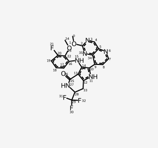 COc1ncc2nccc(-c3[nH]c4c(c3Nc3cccc(F)c3OC)C(=O)NC(C(F)(F)F)C4)c2n1